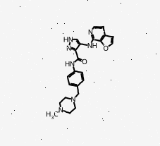 CN1CCN(Cc2ccc(NC(=O)c3n[nH]cc3Nc3nccc4ccoc34)cc2)CC1